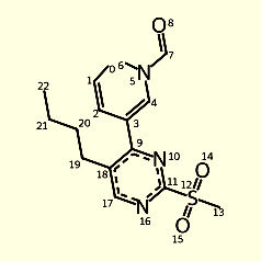 C/C=C\C(=C/N(C)C=O)c1nc(S(C)(=O)=O)ncc1CCCC